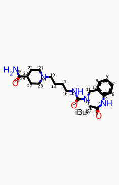 CC[C@H](C)[C@H]1C(=O)Nc2ccccc2CN1C(=O)NCCCCN1CCC(C(N)=O)CC1